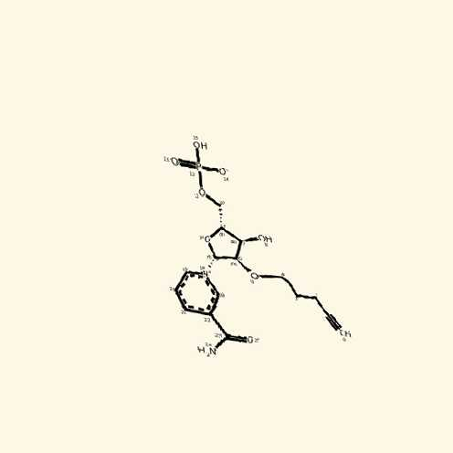 C#CCCCO[C@@H]1[C@H](O)[C@@H](COP(=O)([O-])O)O[C@H]1[n+]1cccc(C(N)=O)c1